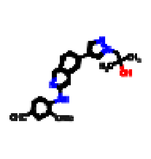 COc1cc(C=O)ccc1Nc1cc2cc(-c3cnn(CC(C)(C)O)c3)ccc2cn1